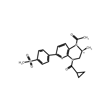 CC(=O)N1c2ccc(-c3ccc(S(C)(=O)=O)cc3)nc2N(C(=O)C2CC2)C[C@@H]1C